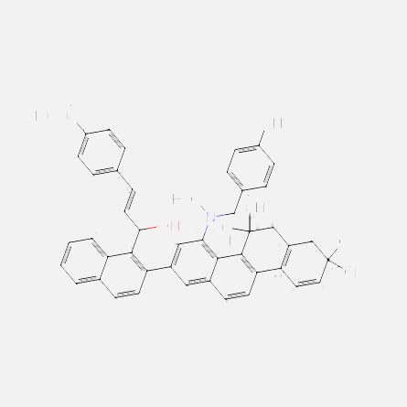 Cc1ccc(CN(C)c2cc(-c3ccc4ccccc4c3C(O)C=Cc3ccc(C(=O)O)cc3)cc3ccc4c(c23)C(C)(C)CC2=C4C=CC(C)(C)C2)cc1